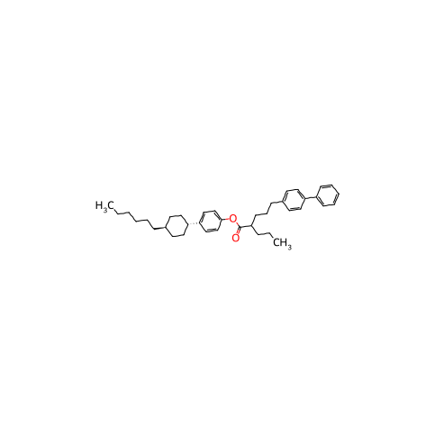 CCCCCC[C@H]1CC[C@H](c2ccc(OC(=O)C(CCC)CCCc3ccc(-c4ccccc4)cc3)cc2)CC1